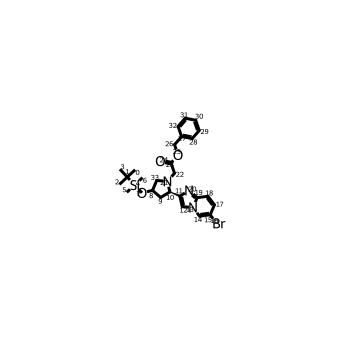 CC(C)(C)[Si](C)(C)OC1C[C@H](c2cn3cc(Br)ccc3n2)N(CC(=O)OCc2ccccc2)C1